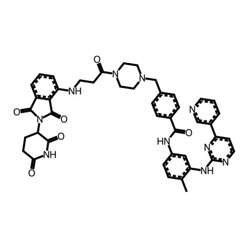 Cc1ccc(NC(=O)c2ccc(CN3CCN(C(=O)CCNc4cccc5c4C(=O)N(C4CCC(=O)NC4=O)C5=O)CC3)cc2)cc1Nc1nccc(-c2cccnc2)n1